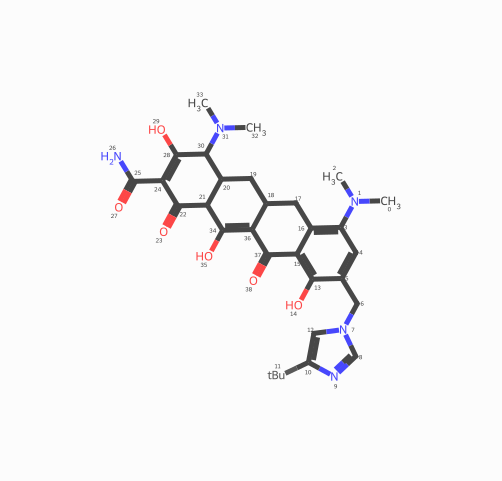 CN(C)c1cc(Cn2cnc(C(C)(C)C)c2)c(O)c2c1CC1CC3C(C(=O)C(C(N)=O)=C(O)C3N(C)C)C(O)=C1C2=O